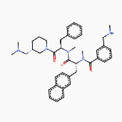 CNCc1cccc(C(=O)N(C)[C@H](Cc2ccc3ccccc3c2)C(=O)N(C)[C@H](Cc2ccccc2)C(=O)N2CCC[C@@H](CN(C)C)C2)c1